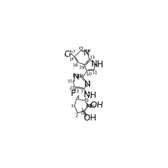 O[C@H]1CCCC(Nc2nc(-c3c[nH]c4ncc(Cl)cc34)ncc2F)[C@@H]1O